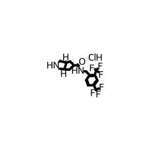 Cl.O=C(NCc1ccc(C(F)(F)F)cc1C(F)(F)F)C1C[C@H]2CNC[C@H]2C1